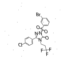 O=c1n(S(=O)(=O)c2cccc(Br)c2)nc(-c2ccc(Cl)cc2)n1CCC(F)(F)F